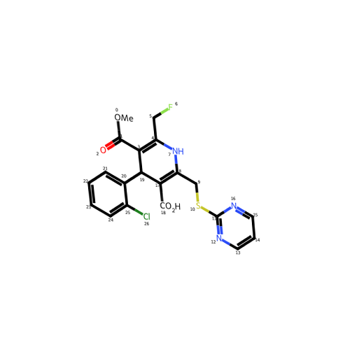 COC(=O)C1=C(CF)NC(CSc2ncccn2)=C(C(=O)O)C1c1ccccc1Cl